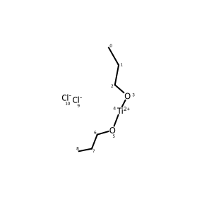 CCC[O][Ti+2][O]CCC.[Cl-].[Cl-]